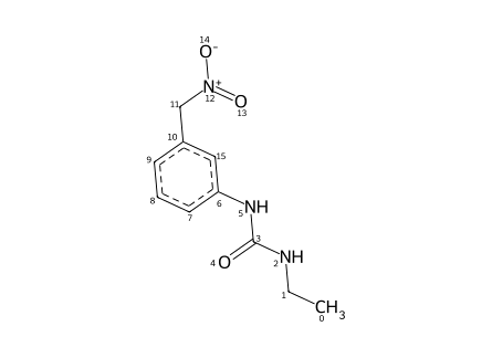 CCNC(=O)Nc1cccc(C[N+](=O)[O-])c1